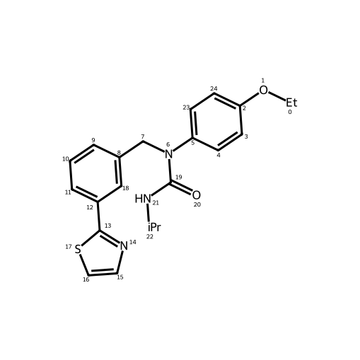 CCOc1ccc(N(Cc2cccc(-c3nccs3)c2)C(=O)NC(C)C)cc1